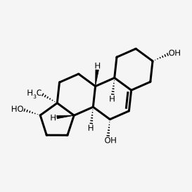 C[C@]12CC[C@H]3[C@@H]([C@@H](O)C=C4C[C@@H](O)CC[C@@H]43)[C@@H]1CC[C@@H]2O